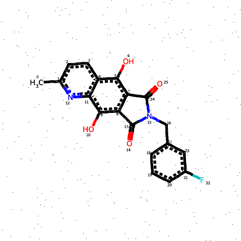 Cc1ccc2c(O)c3c(c(O)c2n1)C(=O)N(Cc1cccc(F)c1)C3=O